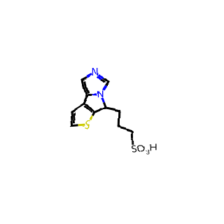 O=S(=O)(O)CCCC1c2sccc2-c2cncn21